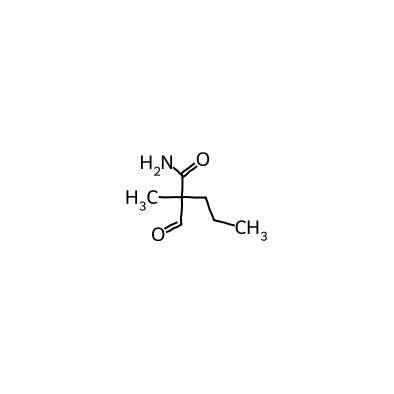 CCCC(C)(C=O)C(N)=O